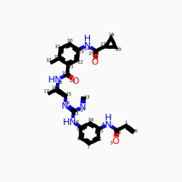 C=CC(=O)Nc1cccc(N/C(N=C)=N/C=C(\C)NC(=O)c2cc(NC(=O)C3CC3)ccc2C)c1